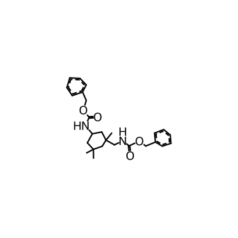 CC1(C)CC(NC(=O)OCc2ccccc2)CC(C)(CNC(=O)OCc2ccccc2)C1